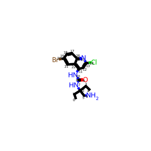 CCC(CC)(CN)NC(=O)Nc1cc(Cl)nc2ccc(Br)cc12